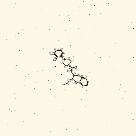 CCOc1nc2ccccc2nc1NC(=O)N1CCN(c2cccc(C)c2C)CC1